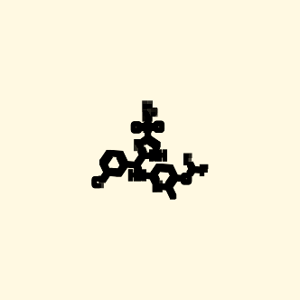 Cc1nc(NC(c2cccc(Cl)c2)c2nc(S(N)(=O)=O)c[nH]2)ccc1OC(F)F